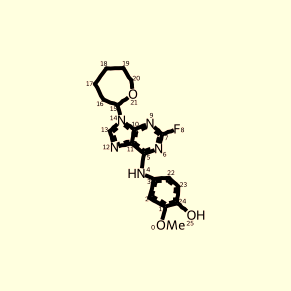 COc1cc(Nc2nc(F)nc3c2ncn3C2CCCCCO2)ccc1O